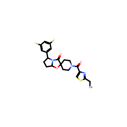 N#CCc1nc(C(=O)N2CCC3(CC2)OC2CCC(c4cc(F)cc(F)c4)N2C3=O)cs1